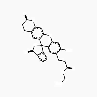 CC(=O)OCOC(=O)CCc1cc2c(cc1OC(C)=O)Oc1cc3c(cc1C21OC(=O)c2ccccc21)CCC(=O)O3